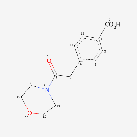 O=C(O)c1ccc(CC(=O)N2CCOCC2)cc1